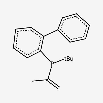 C=C(C)P(c1ccccc1-c1ccccc1)C(C)(C)C